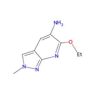 CCOc1nc2nn(C)cc2cc1N